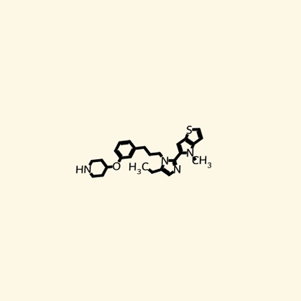 CCc1cnc(-c2cc3sccc3n2C)n1CCCc1cccc(OC2CCNCC2)c1